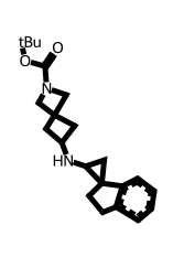 CC(C)(C)OC(=O)N1CC2(CC(NC3CC34CCc3ccccc34)C2)C1